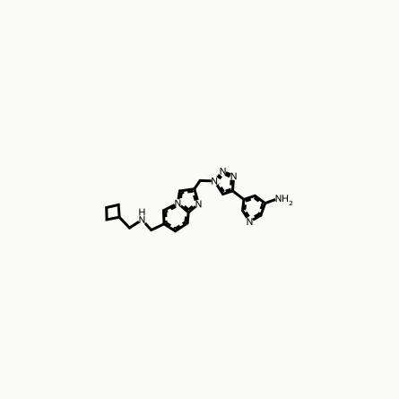 Nc1cncc(-c2cn(Cc3cn4cc(CNCC5CCC5)ccc4n3)nn2)c1